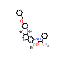 C=C(C(=O)Nc1cc2c(Nc3ccc(OCc4ccccc4)cc3)c(C#N)cnc2cc1OCC)c1ccccc1